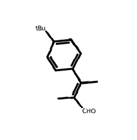 C/C(C=O)=C(/C)c1ccc(C(C)(C)C)cc1